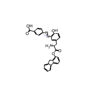 NC(Cc1ccc(O)c(/N=N/c2ccc(C(=O)O)cc2)c1)C(=O)Oc1cccc2c1Cc1ccccc1-2